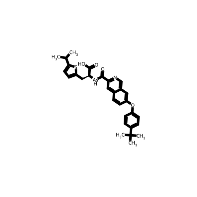 CC(C)c1ccc(C[C@H]([AsH]C(=O)c2cc3ccc(Oc4ccc(C(C)(C)C)cc4)cc3cn2)C(=O)O)s1